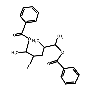 CC(CC(C)C(C)OC(=O)c1ccccc1)C(C)OC(=O)c1ccccc1